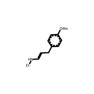 CCNC=CCc1ccc(OC)cc1